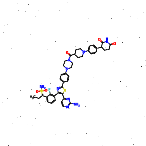 CCC(c1cccc(-c2nc(-c3ccc(N4CCN(C(=O)C5CCN(c6ccc(C7CCC(=O)NC7=O)cc6)CC5)CC4)cc3)sc2-c2ccnc(N)n2)c1F)S(N)(=O)=O